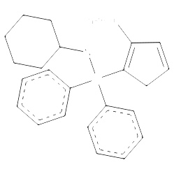 CCCCCC1=C([Si](NC2CCCCC2)(c2ccccc2)c2ccccc2)CC=C1